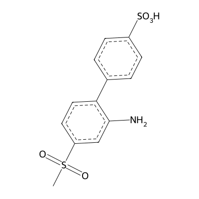 CS(=O)(=O)c1ccc(-c2ccc(S(=O)(=O)O)cc2)c(N)c1